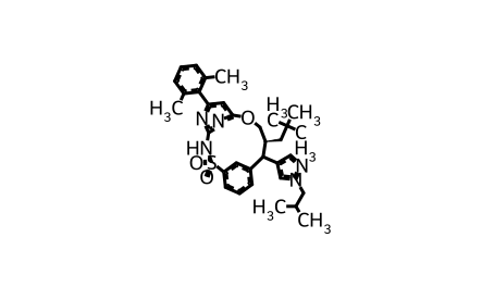 Cc1cccc(C)c1-c1cc2nc(n1)NS(=O)(=O)c1cccc(c1)C(c1cnn(CC(C)C)c1)[C@H](CC(C)(C)C)CO2